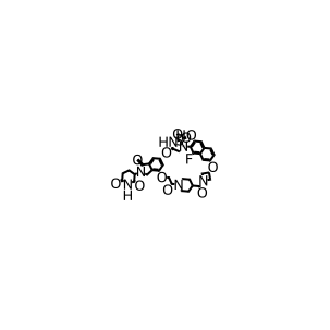 O=C1CCC(N2Cc3c(OCC(=O)N4CCC(C(=O)N5CC(Oc6ccc7cc(O)c(N8CC(=O)NS8(=O)=O)c(F)c7c6)C5)CC4)cccc3C2=O)C(=O)N1